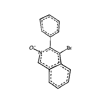 [O-][n+]1cc2ccccc2c(Br)c1-c1ccccc1